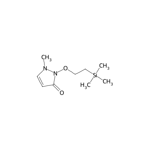 Cn1ccc(=O)n1OCC[Si](C)(C)C